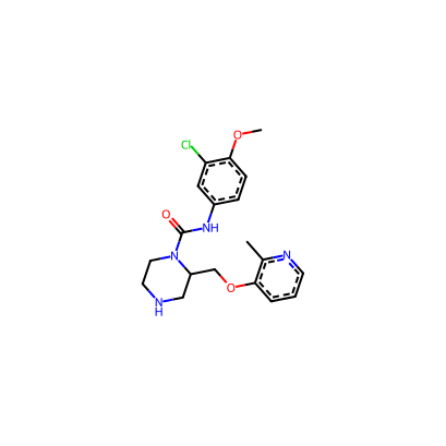 COc1ccc(NC(=O)N2CCNCC2COc2cccnc2C)cc1Cl